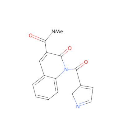 CNC(=O)c1cc2ccccc2n(C(=O)C2=CC=NC2)c1=O